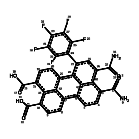 NC(=O)c1ccc2c3ccc(C(=O)O)c4c(C(=O)O)ccc(c5c(-c6c(F)c(F)c(F)c(F)c6F)cc(C(N)=O)c1c25)c43